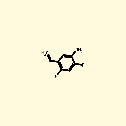 C=Cc1cc(N)c(F)cc1F